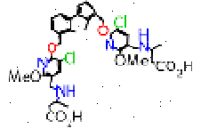 COc1nc(OCc2cccc(-c3cccc(COc4nc(OC)c(CNC(C)CC(=O)O)cc4Cl)c3C)c2C)c(Cl)cc1CNC(C)CC(=O)O